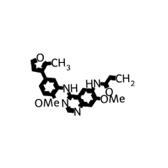 C=CC(=O)Nc1cc2c(Nc3cc(-c4ccoc4C)ccc3OC)ncnc2cc1OC